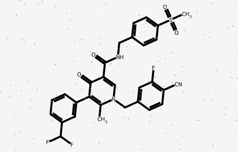 Cc1c(-c2cccc(C(F)F)c2)c(=O)c(C(=O)NCc2ccc(S(C)(=O)=O)cc2)cn1Cc1ccc(C#N)c(F)c1